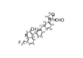 Cc1cnc2c(C(F)(F)F)cccc2c1-c1cccc(Cc2cccc(N3CCOC3C=O)c2)c1